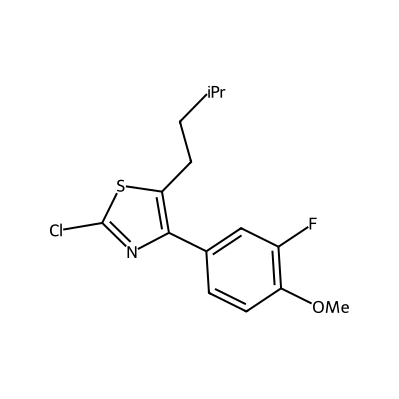 COc1ccc(-c2nc(Cl)sc2CCC(C)C)cc1F